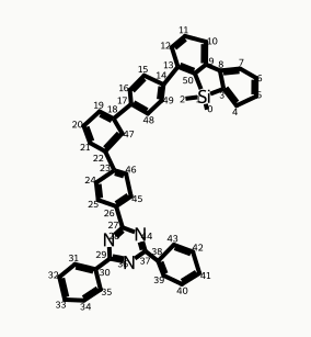 C[Si]1(C)c2ccccc2-c2cccc(-c3ccc(-c4cccc(-c5ccc(-c6nc(-c7ccccc7)nc(-c7ccccc7)n6)cc5)c4)cc3)c21